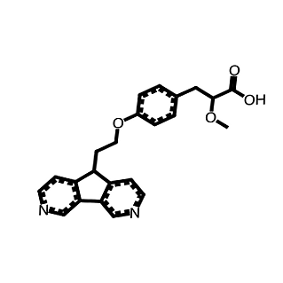 COC(Cc1ccc(OCCC2c3ccncc3-c3cnccc32)cc1)C(=O)O